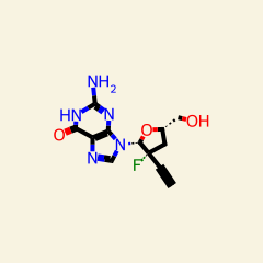 C#C[C@]1(F)C[C@@H](CO)O[C@H]1n1cnc2c(=O)[nH]c(N)nc21